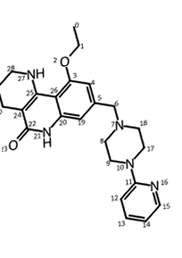 CCOc1cc(CN2CCN(c3ccccn3)CC2)cc2[nH]c(=O)c3c(c12)NCCC3